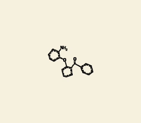 Nc1ccccc1Oc1ccccc1C(=O)c1ccccc1